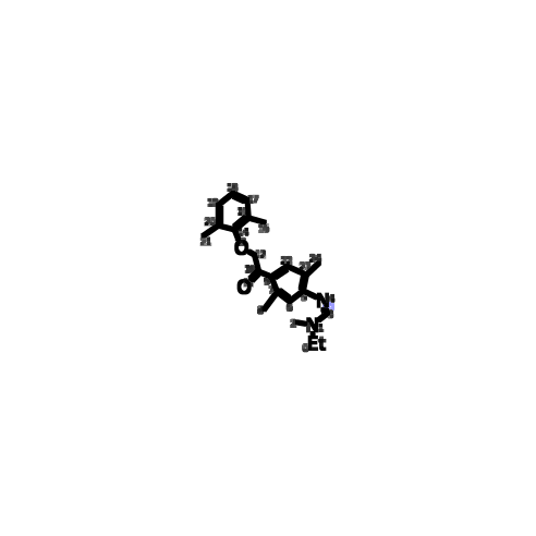 CCN(C)/C=N\c1cc(C)c(C(=O)COc2c(C)cccc2C)cc1C